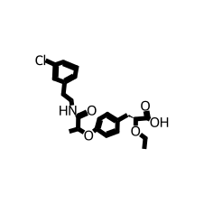 CCO[C@H](Cc1ccc(OC(C)C(=O)NCCc2cccc(Cl)c2)cc1)C(=O)O